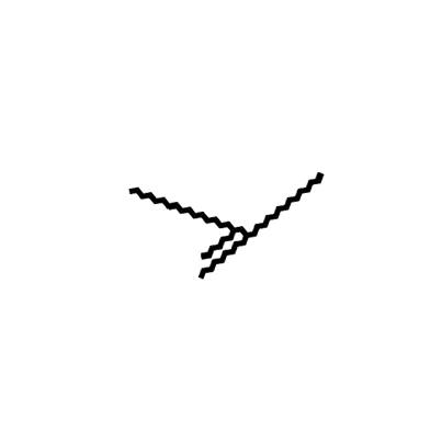 C=CCCCCCCCCCCCCC(CCCCCCCCC)CC(CCCCC=C)CCCCCCCCC=CCCCCCC